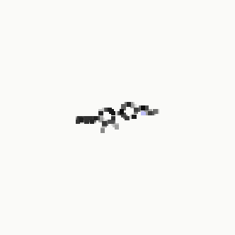 C/C=C/C1CCC(C2CCC(OC)C(C)C2C)CC1